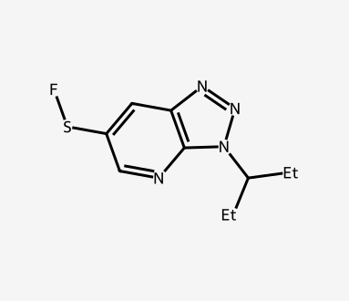 CCC(CC)n1nnc2cc(SF)cnc21